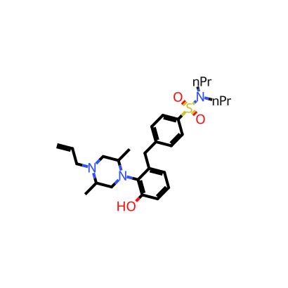 C=CCN1CC(C)N(c2c(O)cccc2Cc2ccc(S(=O)(=O)N(CCC)CCC)cc2)CC1C